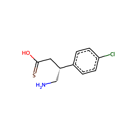 NC[C@H](CC(O)=S)c1ccc(Cl)cc1